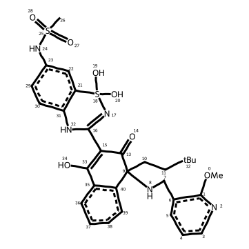 COc1ncccc1CNC1(CCC(C)(C)C)C(=O)C(C2=NS(O)(O)c3cc(NS(C)(=O)=O)ccc3N2)=C(O)c2ccccc21